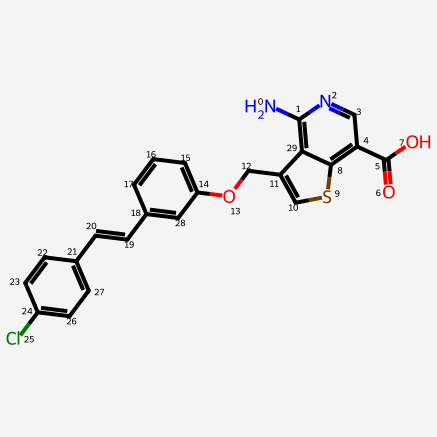 Nc1ncc(C(=O)O)c2scc(COc3cccc(C=Cc4ccc(Cl)cc4)c3)c12